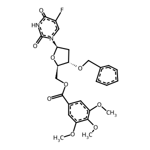 COc1cc(C(=O)OC[C@H]2O[C@@H](n3cc(F)c(=O)[nH]c3=O)C[C@@H]2OCc2ccccc2)cc(OC)c1OC